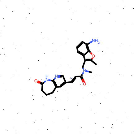 Cc1oc2c(N)cccc2c1CN(C)C(=O)/C=C/c1cnc2c(c1)CCCC(=O)N2